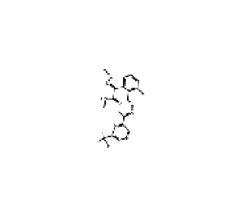 CNC(=O)/C(=N/OC)c1cccc(C)c1CO/N=C(\C)c1cncc(C(F)(F)F)n1